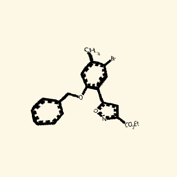 CCOC(=O)c1cc(-c2cc(Br)c(C)cc2OCc2ccccc2)on1